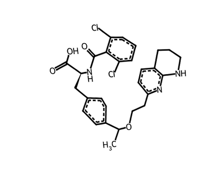 CC(OCCc1ccc2c(n1)NCCC2)c1ccc(C[C@H](NC(=O)c2c(Cl)cccc2Cl)C(=O)O)cc1